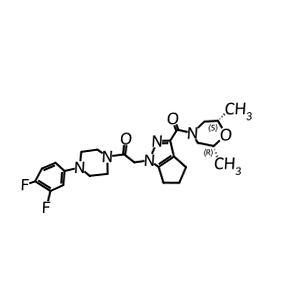 C[C@@H]1CN(C(=O)c2nn(CC(=O)N3CCN(c4ccc(F)c(F)c4)CC3)c3c2CCC3)C[C@H](C)O1